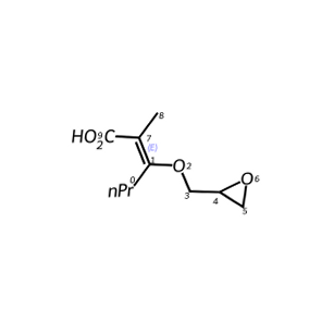 CCC/C(OCC1CO1)=C(/C)C(=O)O